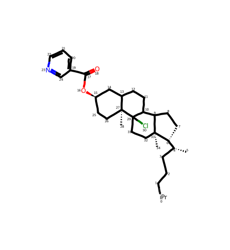 CC(C)CCC[C@@H](C)[C@H]1CCC2C3CCC4C[C@H](OC(=O)c5cccnc5)CC[C@]4(C)C3(Cl)CC[C@@]21C